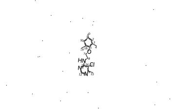 Cc1cc(C)c(OCCNc2ncnc(C)c2Cl)c(C)c1